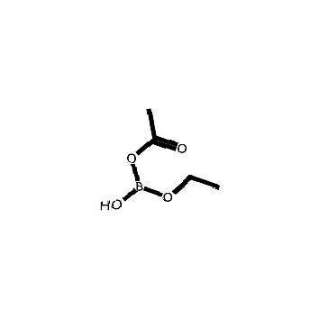 CCOB(O)OC(C)=O